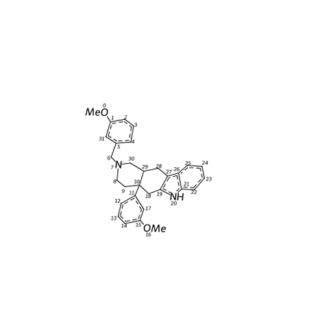 COc1cccc(CN2CCC3(c4cccc(OC)c4)Cc4[nH]c5ccccc5c4CC3C2)c1